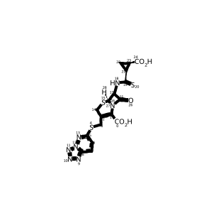 O=C(O)C1=C(CSc2ccc3nnnn3n2)CS[C@H]2C(NC(=S)[C@H]3C[C@H]3C(=O)O)C(=O)N12